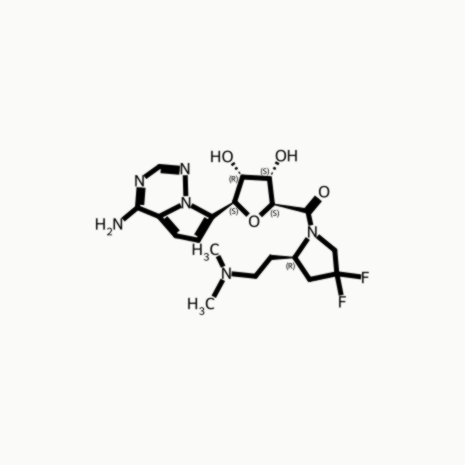 CN(C)CC[C@@H]1CC(F)(F)CN1C(=O)[C@H]1O[C@@H](c2ccc3c(N)ncnn23)[C@H](O)[C@@H]1O